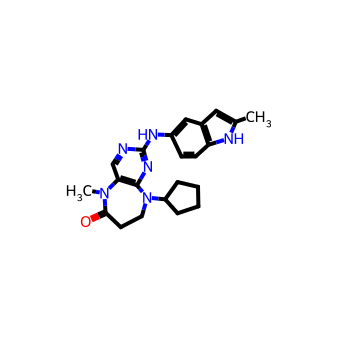 Cc1cc2cc(Nc3ncc4c(n3)N(C3CCCC3)CCC(=O)N4C)ccc2[nH]1